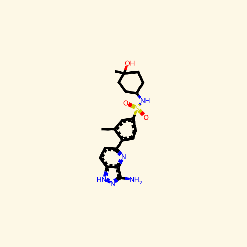 Cc1cc(S(=O)(=O)NC2CCC(C)(O)CC2)ccc1-c1ccc2[nH]nc(N)c2n1